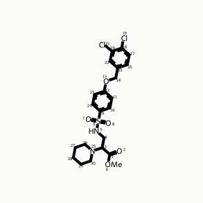 COC(=O)C(CNS(=O)(=O)c1ccc(OCc2ccc(Cl)c(Cl)c2)cc1)N1CCCCC1